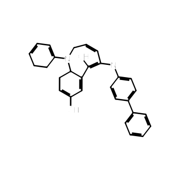 CC1=CCC2C(=C1)/C(C)=C(Nc1ccc(-c3ccccc3)cc1)/C=C\CN2C1=CC=CCC1